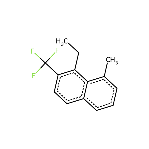 CCc1c(C(F)(F)F)ccc2cccc(C)c12